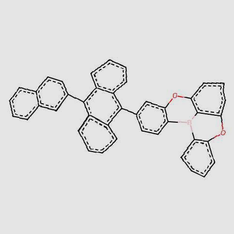 c1ccc2c(c1)Oc1cccc3c1B2c1ccc(-c2c4ccccc4c(-c4ccc5ccccc5c4)c4ccccc24)cc1O3